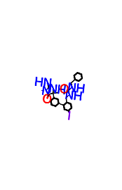 CN1C(=N)NC(C)(c2cccc(-c3cc(I)ccc3CNC(=O)NCc3ccccc3)c2)C1=O